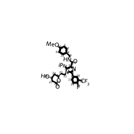 COc1ccc(CNC(=O)c2nc(-c3ccc(F)c(C(F)(F)F)c3)n(CC[C@@H]3C[C@@H](O)CC(=O)O3)c2C(C)C)cc1